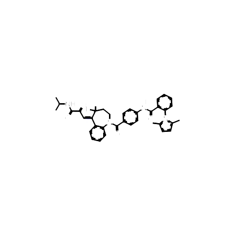 Cc1ccc(C)n1-c1ccccc1C(=O)Nc1ccc(C(=O)N2CCC(F)(F)/C(=C\C(=O)C(=O)NC(C)C)c3ccccc32)cc1